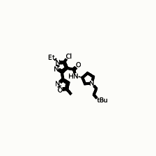 CCn1nc(-c2cc(C)on2)c(C(=O)N[C@@H]2CCN(CCC(C)(C)C)C2)c1Cl